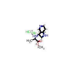 COC(=O)C(C)Nc1c[nH]c2ccncc12.Cl.Cl